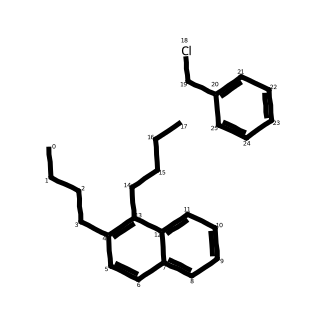 CCCCc1ccc2ccccc2c1CCCC.ClCc1ccccc1